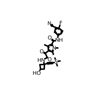 Cc1c(C(=O)C(=O)NC2(C#CS(C)(C)C)CC(O)C2)c(C)n(C)c1C(=O)Nc1ccc(F)c(C#N)c1